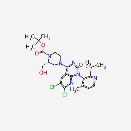 Cc1ccnc(C(C)C)c1-n1c(=O)nc(N2CCN(C(=O)OC(C)(C)C)[C@@H](CO)C2)c2cc(Cl)c(Cl)nc21